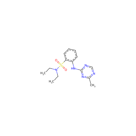 CCN(CC)S(=O)(=O)c1ccccc1Nc1ncnc(C)n1